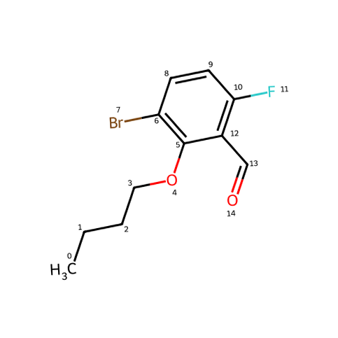 CCCCOc1c(Br)ccc(F)c1C=O